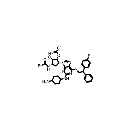 CCC(=O)N[C@H]1C[C@@H](n2cnc3c(NCC(c4ccccc4)c4ccc(F)cc4)nc(NC4CCC(N)CC4)nc32)[C@H](OC(=O)C(F)(F)F)[C@@H]1O